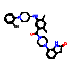 Cc1cc(C)c(C(=O)N2CCN(c3cccc4c3NC(=O)C4)CC2)cc1NC1CCN(c2ccccc2C#N)CC1